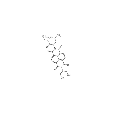 CCOC(=O)C(CC(C)C)N1C(=O)c2ccc3c4c(ccc(c24)C1=O)C(=O)N(C(CO)CO)C3=O